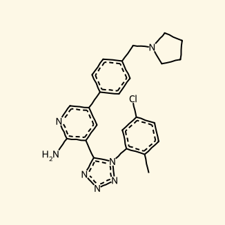 Cc1ccc(Cl)cc1-n1nnnc1-c1cc(-c2ccc(CN3CCCC3)cc2)cnc1N